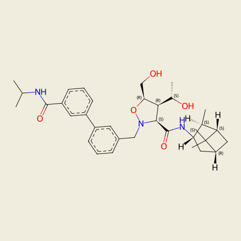 CC(C)NC(=O)c1cccc(-c2cccc(CN3O[C@@H](CO)[C@@H]([C@H](C)O)[C@H]3C(=O)N[C@H]3C[C@H]4C[C@@H]([C@@H]3C)C4(C)C)c2)c1